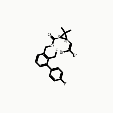 CC1(C)[C@H](C(=O)OCc2cccc(-c3ccc(F)cc3)c2CF)[C@@H]1C=C(Br)Br